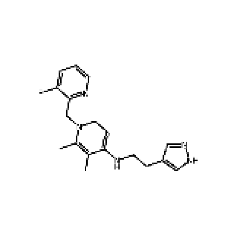 CC1=C(C)N(Cc2ncccc2F)CN=C1NCCc1cn[nH]c1